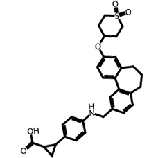 O=C(O)C1CC1c1ccc(NCc2ccc3c(c2)-c2ccc(OC4CCS(=O)(=O)CC4)cc2CCC3)cc1